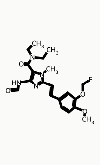 CCN(CC)C(=O)c1c(NC=O)nc(/C=C/c2ccc(OC)c(OCF)c2)n1C